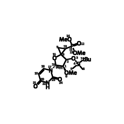 CO[C@@H]1C(O[Si](C)(C)C(C)(C)C)C2(CC2P(=O)(OC)OC)O[C@H]1n1ccc(=O)[nH]c1=O